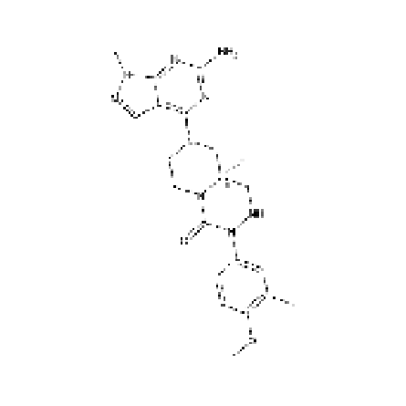 COc1ccc(N2NC[C@@H]3CN(c4nc(N)nc5c4cnn5C)CCN3C2=O)cc1C